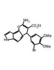 CCOC(=O)C1=C(N)Oc2c(ccc3[nH]ccc23)C1c1cc(Br)c(OC)c(OC)c1